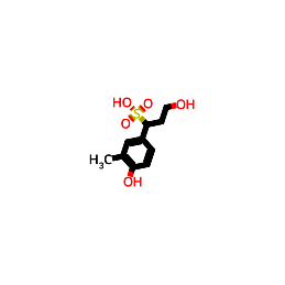 Cc1cc(C(CCO)S(=O)(=O)O)ccc1O